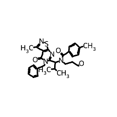 Cc1ccc(C(=O)N(CCC=O)C(c2nc3snc(C)c3c(=O)n2Cc2ccccc2)C(C)C)cc1